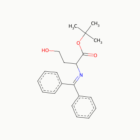 CC(C)(C)OC(=O)C(CCO)N=C(c1ccccc1)c1ccccc1